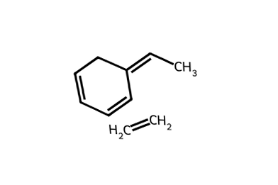 C=C.CC=C1C=CC=CC1